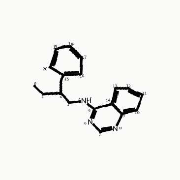 CCC(CNc1ncnc2ccccc12)c1ccccc1